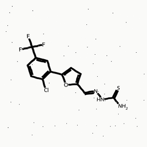 NC(=S)N/N=C/c1ccc(-c2cc(C(F)(F)F)ccc2Cl)o1